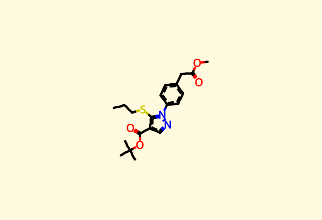 CCCSc1c(C(=O)OC(C)(C)C)cnn1-c1ccc(CC(=O)OC)cc1